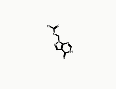 CCC(=O)OCn1ncc2c(=O)[nH]cnc21